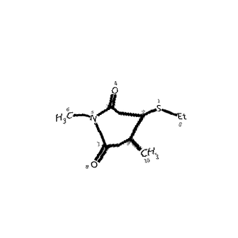 CCSC1C(=O)N(C)C(=O)C1C